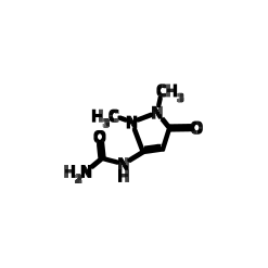 Cn1c(NC(N)=O)cc(=O)n1C